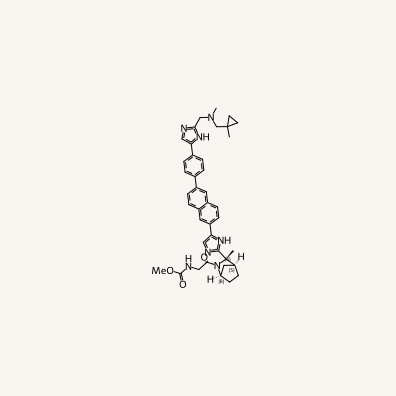 COC(=O)NCC(=O)N1[C@@H]2CC[C@@H](C2)[C@@]1(C)c1ncc(-c2ccc3cc(-c4ccc(-c5cnc(CN(C)CC6(C)CC6)[nH]5)cc4)ccc3c2)[nH]1